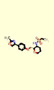 CCS(=O)(=O)N[C@H]1CCCO[C@@H]1COc1ccc(-c2coc(C)n2)cc1